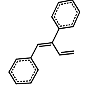 C=C/C(=C\c1ccccc1)c1ccccc1